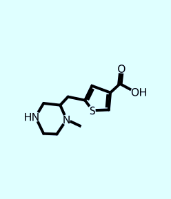 CN1CCNCC1Cc1cc(C(=O)O)cs1